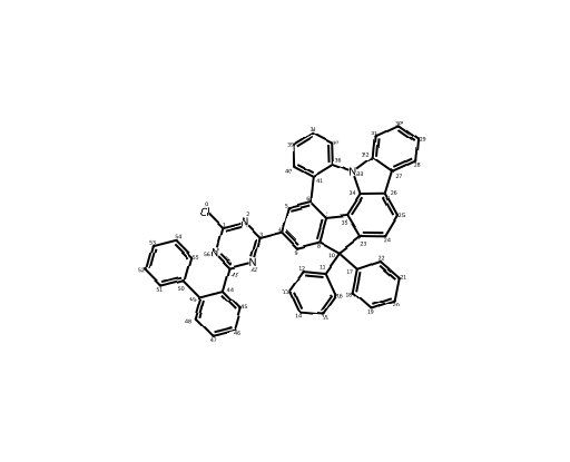 Clc1nc(-c2cc3c4c(c2)C(c2ccccc2)(c2ccccc2)c2ccc5c6ccccc6n(c5c2-4)-c2ccccc2-3)nc(-c2ccccc2-c2ccccc2)n1